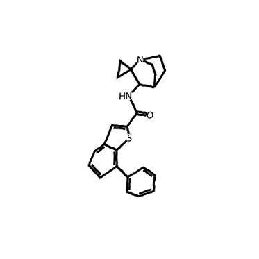 O=C(NC1C2CCN(CC2)C12CC2)c1cc2cccc(-c3ccccc3)c2s1